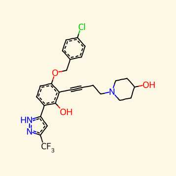 Oc1c(-c2cc(C(F)(F)F)n[nH]2)ccc(OCc2ccc(Cl)cc2)c1C#CCCN1CCC(O)CC1